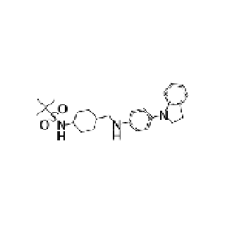 CC(C)(C)S(=O)(=O)NC1CCC(CNc2ccc(N3CCc4ccccc43)cc2)CC1